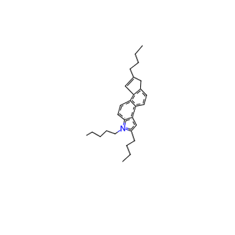 CCCCCn1c(CCCC)cc2c3ccc4c(c3ccc21)C=C(CCCC)C4